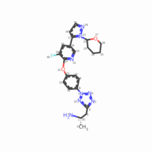 C[C@H](N)Cc1nnn(-c2ccc(Oc3ncc(-c4ccnn4C4CCCCO4)cc3F)cc2)n1